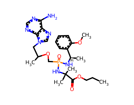 CCCOC(=O)C(C)(C)NP(=O)(COC(C)Cn1cnc2c(N)ncnc21)N[C@H](C)c1ccccc1OC